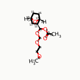 COCCOCOC(OC(C)=O)[C@H]1C[C@@H]2CC[C@H]1O2